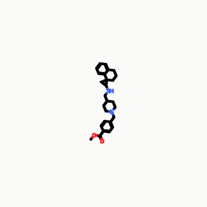 COC(=O)c1ccc(CN2CCC(CNC3CC34CCCc3ccccc34)CC2)cc1